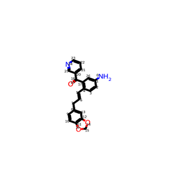 Nc1ccc(/C=C/Cc2ccc3c(c2)OCO3)c(C(=O)c2cccnc2)c1